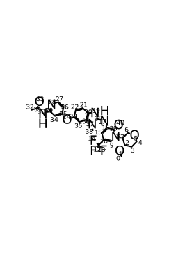 CO[C@H]1CCOC[C@H]1n1cc(C(F)(F)F)cc(Nc2nc3ccc(Oc4ccnc(NC(C)=O)c4)cc3n2C)c1=O